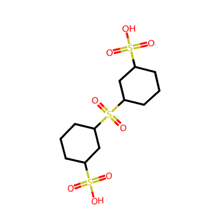 O=S(=O)(O)C1CCCC(S(=O)(=O)C2CCCC(S(=O)(=O)O)C2)C1